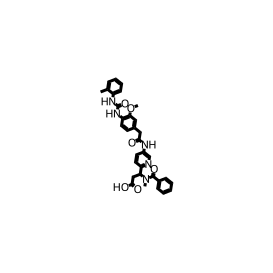 COc1cc(CC(=O)Nc2ccc(C(CC(=O)O)N(C)C(=O)c3ccccc3)nc2)ccc1NC(=O)Nc1ccccc1C